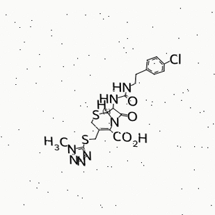 Cn1nnnc1SCC1=C(C(=O)O)N2C(=O)C(NC(=O)NCCc3ccc(Cl)cc3)[C@@H]2SC1